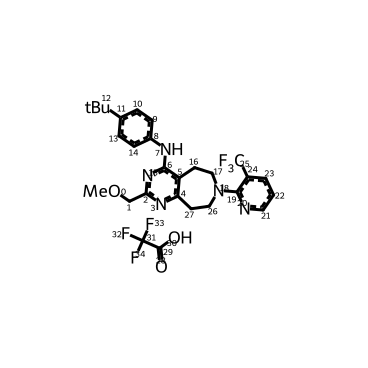 COCc1nc2c(c(Nc3ccc(C(C)(C)C)cc3)n1)CCN(c1ncccc1C(F)(F)F)CC2.O=C(O)C(F)(F)F